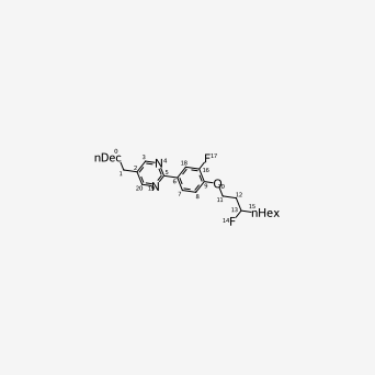 CCCCCCCCCCCc1cnc(-c2ccc(OCCC(F)CCCCCC)c(F)c2)nc1